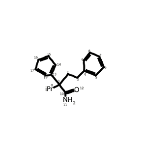 CC(C)C(CCc1ccccc1)(C(N)=O)c1ccccc1